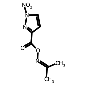 CC(C)=NOC(=O)c1ccn([N+](=O)[O-])n1